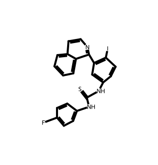 Fc1ccc(NC(=S)Nc2ccc(I)c(-c3nccc4ccccc34)c2)cc1